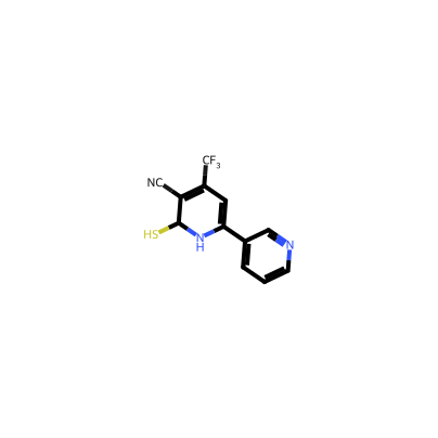 N#CC1=C(C(F)(F)F)C=C(c2cccnc2)NC1S